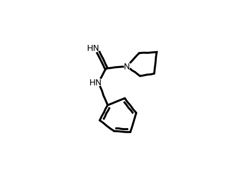 N=C(Nc1ccccc1)N1CCCC1